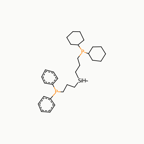 C[SiH](CCCP(c1ccccc1)c1ccccc1)CCCP(C1CCCCC1)C1CCCCC1